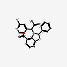 NC(=O)C(c1ccnc(Cl)c1)N1c2c(C(=O)O)ccnc2NC1c1ccccc1